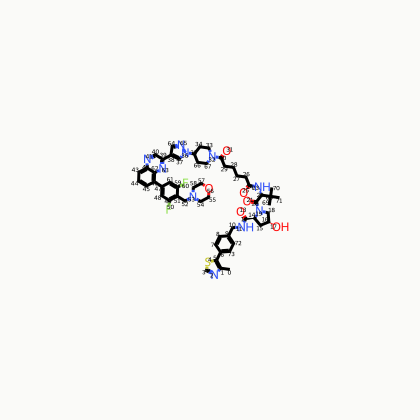 Cc1ncsc1-c1ccc(CNC(=O)[C@@H]2C[C@@H](O)CN2C(=O)[C@@H](NC(=O)CCCCC(=O)N2CCC(n3cc(-c4cnc5cccc(-c6cc(F)c(CN7CCOCC7)c(F)c6)c5n4)cn3)CC2)C(C)(C)C)cc1